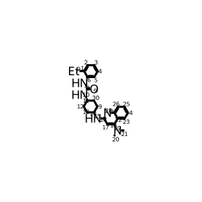 CCc1ccccc1NC(=O)NC1CCC(Nc2cc(N(C)C)c3ccccc3n2)CC1